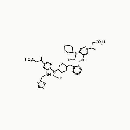 CC(C)CN(c1ccc(C(C)CC(=O)O)cc1NCc1cncs1)C1CCC(Cc2ccccc2CNc2cc(C(C)CC(=O)O)ccc2N(CC(C)C)C2CCCCC2)CC1